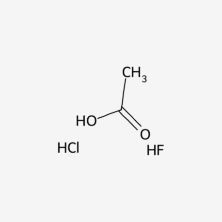 CC(=O)O.Cl.F